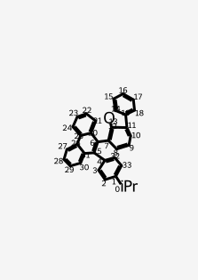 CC(C)c1ccc(-c2c(-c3cccc4c3oc3ccccc34)c3ccccc3c3ccccc23)cc1